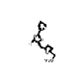 COCc1ccc(/C=C2\N=C(c3cccs3)OC2=O)o1